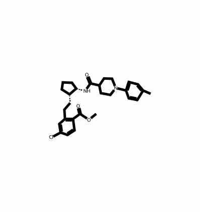 COC(=O)c1ccc(Cl)cc1CC[C@@H]1CCC[C@@H]1NC(=O)C1CCN(c2ccc(C)cc2)CC1